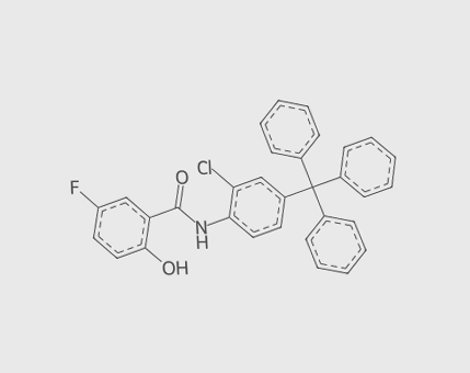 O=C(Nc1ccc(C(c2ccccc2)(c2ccccc2)c2ccccc2)cc1Cl)c1cc(F)ccc1O